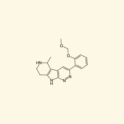 COCOc1ccccc1-c1cc2c3c([nH]c2nn1)CCNC3C